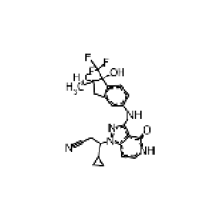 CC1(C)Cc2cc(Nc3nn(C(CC#N)C4CC4)c4cc[nH]c(=O)c34)ccc2[C@@]1(O)C(F)(F)F